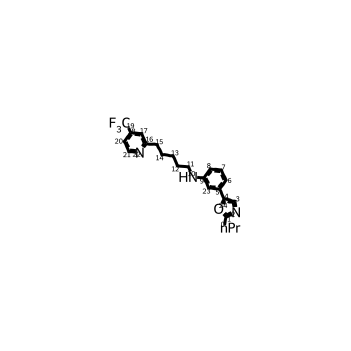 CCCc1ncc(-c2cccc(NCCCCCc3cc(C(F)(F)F)ccn3)c2)o1